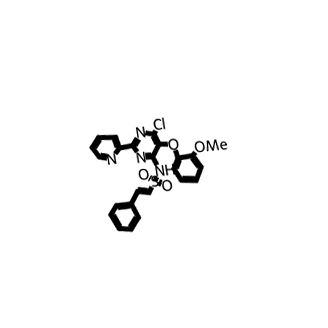 COc1ccccc1Oc1c(Cl)nc(-c2ccccn2)nc1NS(=O)(=O)C=Cc1ccccc1